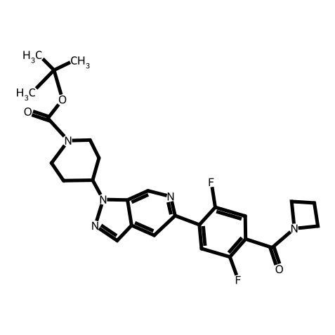 CC(C)(C)OC(=O)N1CCC(n2ncc3cc(-c4cc(F)c(C(=O)N5CCC5)cc4F)ncc32)CC1